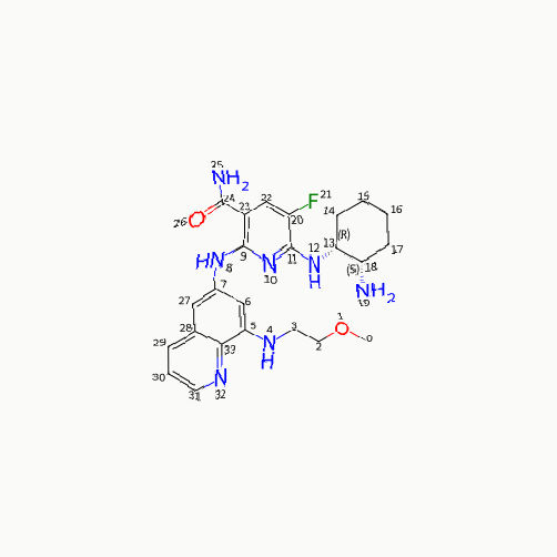 COCCNc1cc(Nc2nc(N[C@@H]3CCCC[C@@H]3N)c(F)cc2C(N)=O)cc2cccnc12